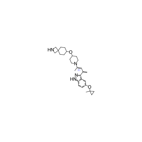 C=C(/C=C(\C)N1CCC(OC2CCC3(CC2)CNC3)CC1)c1n[nH]c2ccc(OC3(C)CC3)cc12